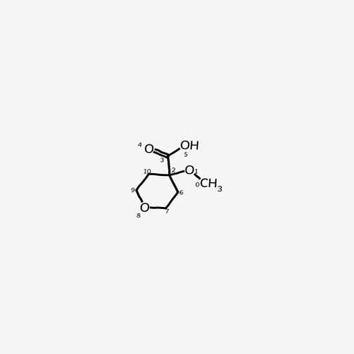 COC1(C(=O)O)CCOCC1